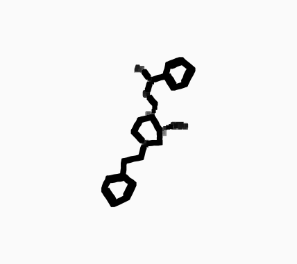 CO[C@@H]1CN(CCc2ccccc2)CC[C@@H]1CON(C(C)=O)c1ccccc1